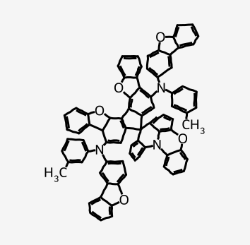 Cc1cccc(N(C2=CC3=C(c4c(cc(N(c5cccc(C)c5)c5ccc6oc7ccccc7c6c5)c5c4oc4ccccc45)C34c3ccccc3N3c5ccccc5Oc5cccc4c53)C3Oc4ccccc4C23)c2ccc3oc4ccccc4c3c2)c1